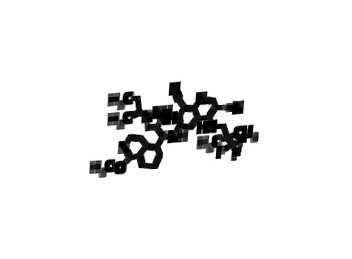 C=C(CC)N1C=C([C@@H](Nc2cc(C#N)c3ncc(C#N)c(NCC(C)(C)C(F)(F)F)c3c2)c2cccc3c(OC)nccc23)NN1